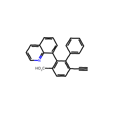 C#Cc1ccc(C(=O)O)c(-c2cccc3cccnc23)c1-c1ccccc1